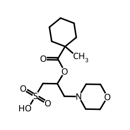 CC1(C(=O)OC(CN2CCOCC2)CS(=O)(=O)O)CCCCC1